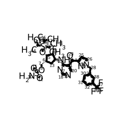 CC(C)[Si](O[C@@H]1[C@@H](COS(N)(=O)=O)C[C@@H](Nc2ncncc2C(=O)c2ccn(Cc3cccc(C(F)(F)F)c3)n2)[C@H]1F)(C(C)C)C(C)C